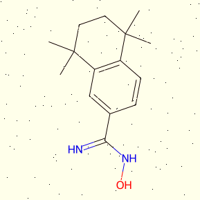 CC1(C)CCC(C)(C)c2cc(C(=N)NO)ccc21